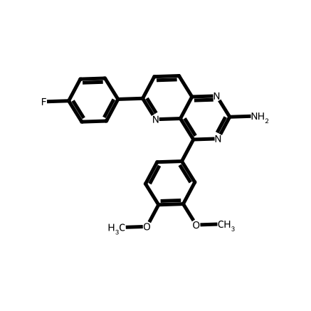 COc1ccc(-c2nc(N)nc3ccc(-c4ccc(F)cc4)nc23)cc1OC